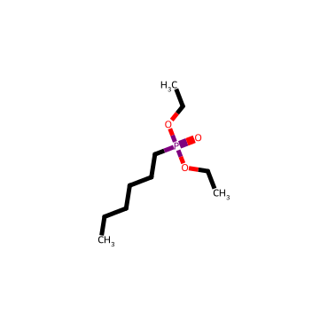 CCCCCCP(=O)(OCC)OCC